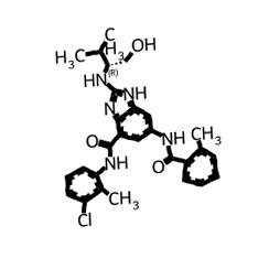 Cc1ccccc1C(=O)Nc1cc(C(=O)Nc2cccc(Cl)c2C)c2nc(N[C@@H](CO)C(C)C)[nH]c2c1